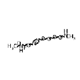 CCC(=O)NCC(F)COCCN1CCN(CCOCCOCCOCCOCCNC)CC1